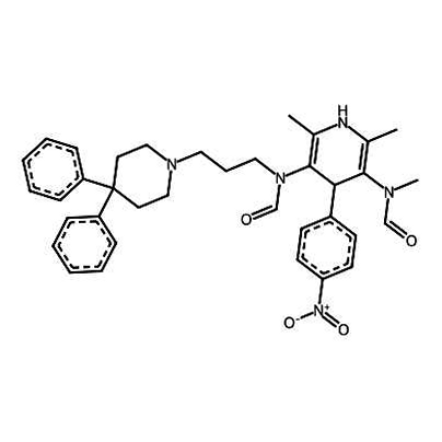 CC1=C(N(C)C=O)C(c2ccc([N+](=O)[O-])cc2)C(N(C=O)CCCN2CCC(c3ccccc3)(c3ccccc3)CC2)=C(C)N1